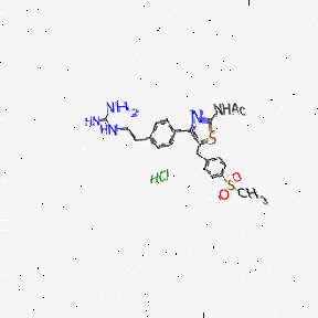 CC(=O)Nc1nc(-c2ccc(CCNC(=N)N)cc2)c(Cc2ccc(S(C)(=O)=O)cc2)s1.Cl